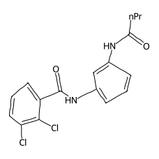 CCCC(=O)Nc1cccc(NC(=O)c2cccc(Cl)c2Cl)c1